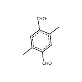 Cc1cc([C]=O)c(C)cc1[C]=O